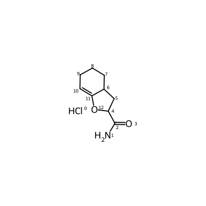 Cl.NC(=O)C1CC2CCCC=C2O1